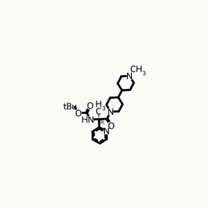 CN1CCC(C2CCN(C(=O)[C@](C)(NC(=O)OC(C)(C)C)c3ccccn3)CC2)CC1